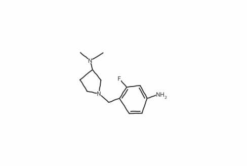 CN(C)C1CCN(Cc2ccc(N)cc2F)C1